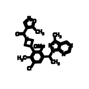 COc1c(C(C)n2nc(C)c3cncnc32)cc(Cl)c(C)c1C1CN(C(=O)c2cnoc2C)C1